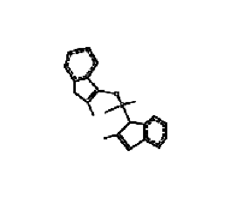 CC1=Cc2ccccc2C1[Si](C)(C)OC1=C(C)Cc2ccccc21